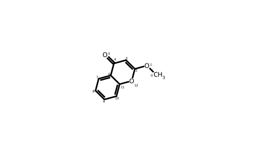 COc1cc(=O)c2ccccc2o1